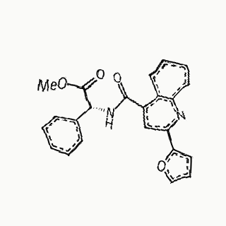 COC(=O)[C@H](NC(=O)c1cc(-c2ccco2)nc2ccccc12)c1ccccc1